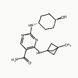 CC12CC(Nc3nc(N[C@H]4CC[C@H](O)CC4)ncc3C(N)=O)(C1)C2